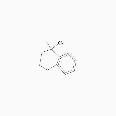 CC1(C#N)CCCc2ccccc21